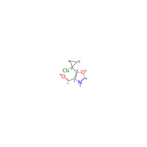 O=Cc1ncoc1C1(Cl)CC1